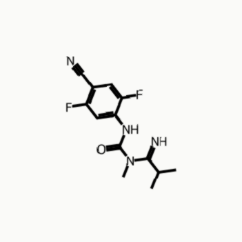 CC(C)C(=N)N(C)C(=O)Nc1cc(F)c(C#N)cc1F